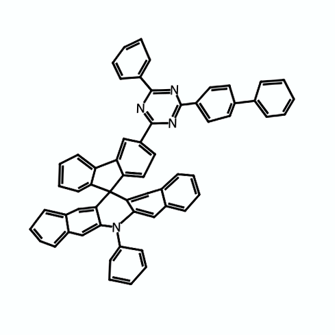 c1ccc(-c2ccc(-c3nc(-c4ccccc4)nc(-c4ccc5c(c4)-c4ccccc4C54c5cc6ccccc6cc5N(c5ccccc5)c5cc6ccccc6cc54)n3)cc2)cc1